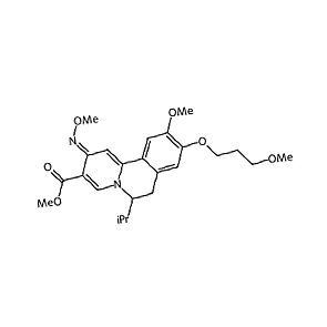 COCCCOc1cc2c(cc1OC)-c1cc(=NOC)c(C(=O)OC)cn1C(C(C)C)C2